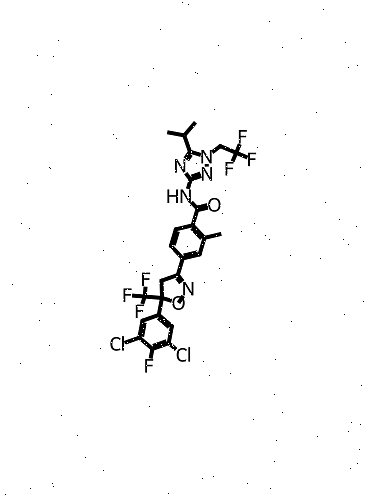 Cc1cc(C2=NOC(c3cc(Cl)c(F)c(Cl)c3)(C(F)(F)F)C2)ccc1C(=O)Nc1nc(C(C)C)n(CC(F)(F)F)n1